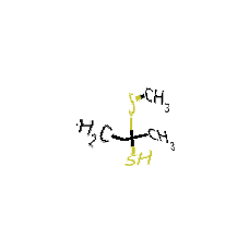 [CH2]C(C)(S)SC